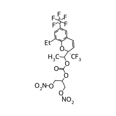 CCc1cc(S(F)(F)(F)(F)F)cc2c1O[C@@](C(C)OC(=O)OC(CO[N+](=O)[O-])CO[N+](=O)[O-])(C(F)(F)F)C=C2